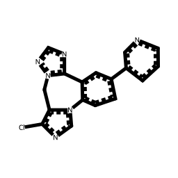 Clc1ncn2c1Cn1ncnc1-c1cc(-c3cccnc3)ccc1-2